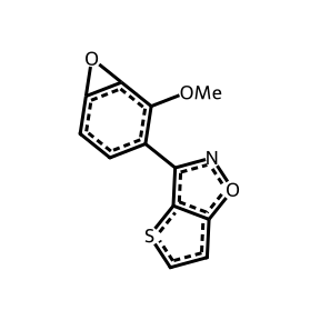 COc1c(-c2noc3ccsc23)ccc2c1O2